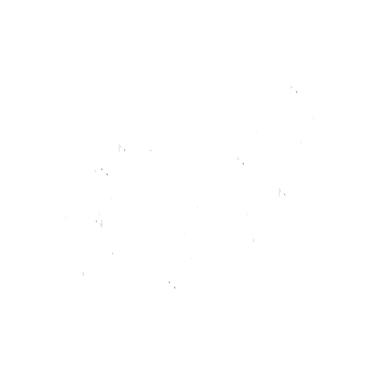 Cc1nnc(N2CCCC2)cc1Oc1cc(C#N)ccc1-c1ncc(CN)cn1